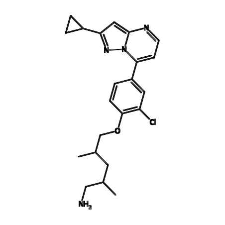 CC(CN)CC(C)COc1ccc(-c2ccnc3cc(C4CC4)nn23)cc1Cl